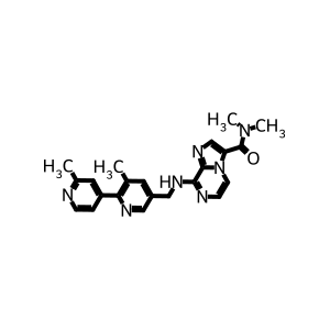 Cc1cc(-c2ncc(CNc3nccn4c(C(=O)N(C)C)cnc34)cc2C)ccn1